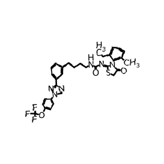 CCc1cccc(C)c1N1C(=O)CS/C1=N\C(=O)NCCCCc1cccc(-c2ncn(-c3ccc(OC(F)(F)F)cc3)n2)c1